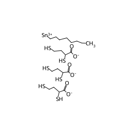 CCCCCCC[CH2][Sn+3].O=C([O-])C(S)CCS.O=C([O-])C(S)CCS.O=C([O-])C(S)CCS